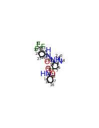 CC(C)N(C)c1ccc(S(=O)(=O)Nc2ccccc2)cc1NC(=O)Nc1cccc(C(F)(F)F)c1